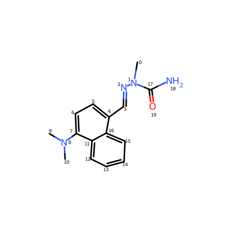 CN(N=Cc1ccc(N(C)C)c2ccccc12)C(N)=O